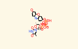 CC[C@H](O[C@H](C)COP(=O)(O)OP(=O)(O)OP(=O)(O)Oc1ccc2nc3ccc(=O)cc-3oc2c1)n1cc(C)c(=O)[nH]c1=O